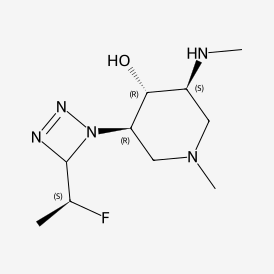 CN[C@H]1CN(C)C[C@@H](N2N=NC2[C@H](C)F)[C@@H]1O